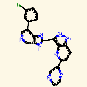 Fc1cccc(-c2cncc3[nH]c(-c4n[nH]c5ccc(-c6cnccn6)nc45)nc23)c1